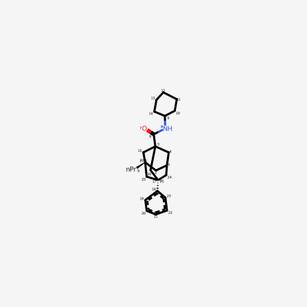 CCC[C@]12CC3CC(C(=O)NC4CCCCC4)(C1)C[C@@](c1ccccc1)(C3)C2